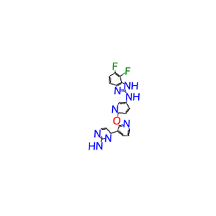 CNc1nccc(-c2cccnc2Oc2ccc(Nc3nc4ccc(F)c(F)c4[nH]3)cn2)n1